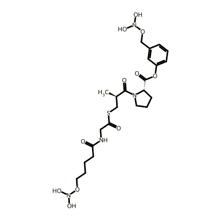 C[C@H](CSC(=O)CNC(=O)CCCCON(O)O)C(=O)N1CCC[C@H]1C(=O)Oc1cccc(CON(O)O)c1